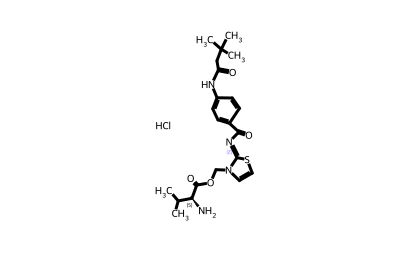 CC(C)[C@H](N)C(=O)OCn1ccs/c1=N\C(=O)c1ccc(NC(=O)CC(C)(C)C)cc1.Cl